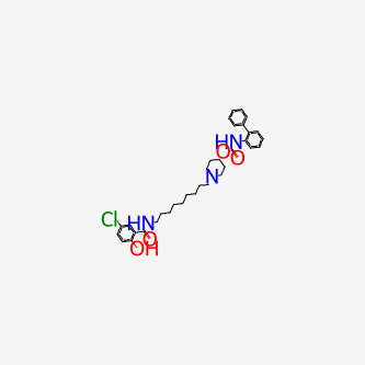 O=C(Nc1ccccc1-c1ccccc1)OC1CCN(CCCCCCCCCNC(=O)c2cc(Cl)ccc2O)CC1